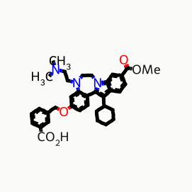 COC(=O)c1ccc2c(C3CCCCC3)c3n(c2c1)CCN(CCN(C)C)c1cc(OCc2cccc(C(=O)O)c2)ccc1-3